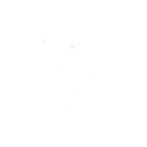 CNC(=O)c1c(-c2ccc(F)cc2)oc2cc(COC=O)c(OC(C)C)cc12